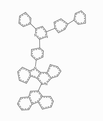 c1ccc(-c2ccc(-c3cc(-c4ccccc4)nc(-c4ccc(-n5c6ccccc6c6c(-c7cc8ccccc8c8ccccc78)nc7ccccc7c65)cc4)n3)cc2)cc1